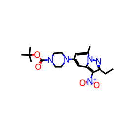 CCc1nn2c(C)cc(N3CCN(C(=O)OC(C)(C)C)CC3)cc2c1[N+](=O)[O-]